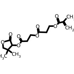 C=C(C)C(=O)OCCC(=O)OCCC(=O)OC1C(=O)OCC1(C)C